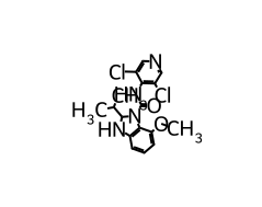 COc1cccc2c1N(C(=O)Nc1c(Cl)cncc1Cl)C(C(C)C)N2